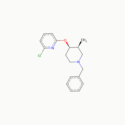 C[C@H]1CN(Cc2ccccc2)CC[C@H]1Oc1cccc(Cl)n1